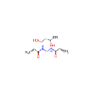 C=CC(=O)NCNC(=O)C=C.CC(O)CCO